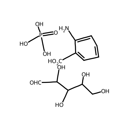 Nc1ccccc1C(=O)O.O=CC(O)C(O)C(O)CO.O=P(O)(O)O